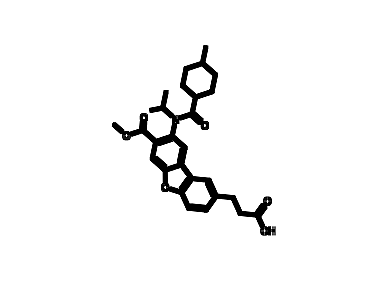 COC(=O)c1cc2oc3ccc(CCC(=O)O)cc3c2cc1N(C(=O)C1CCC(C)CC1)C(C)C